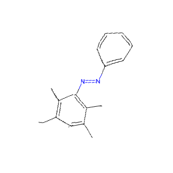 Cc1[c]c(C)c(C)c(N=Nc2ccccc2)c1C